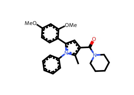 COc1ccc(-c2cc(C(=O)N3CCCCC3)c(C)n2-c2ccccc2)c(OC)c1